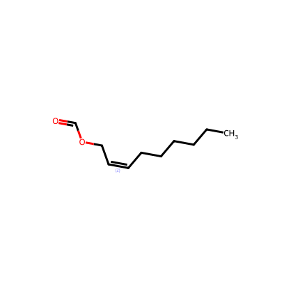 CCCCCC/C=C\COC=O